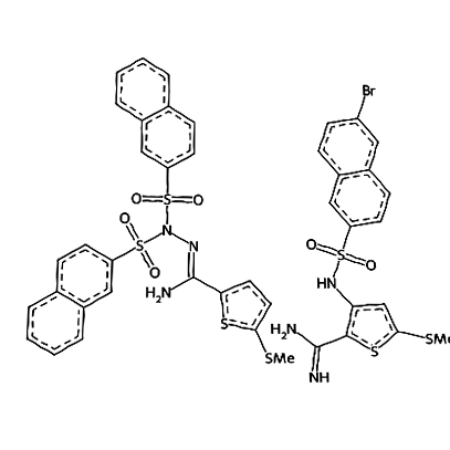 CSc1cc(NS(=O)(=O)c2ccc3cc(Br)ccc3c2)c(C(=N)N)s1.CSc1ccc(C(N)=NN(S(=O)(=O)c2ccc3ccccc3c2)S(=O)(=O)c2ccc3ccccc3c2)s1